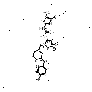 CC(=O)c1sc(NC(=O)N[C@@H]2CS(=O)(=O)C[C@H]2CN2CCCC(Cc3ccc(F)cc3)C2)nc1C